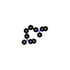 c1ccc(N(c2ccc(-c3cccc(-c4cccc(-c5ccc(N(c6ccccc6)c6ccc7ccccc7c6)cc5)c4)c3)cc2)c2ccc3ccccc3c2)cc1